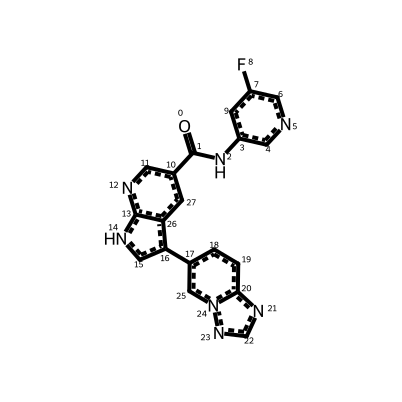 O=C(Nc1cncc(F)c1)c1cnc2[nH]cc(-c3ccc4ncnn4c3)c2c1